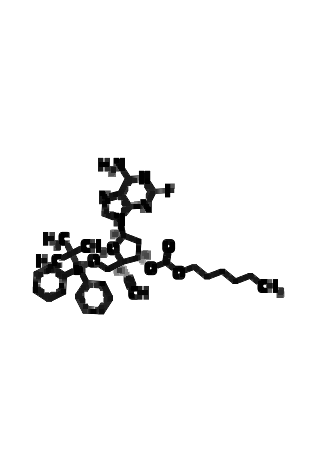 C#C[C@]1(CO[Si](c2ccccc2)(c2ccccc2)C(C)(C)C)O[C@@H](n2cnc3c(N)nc(F)nc32)C[C@@H]1OC(=O)OCCCCCC